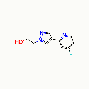 OCCn1cc(-c2cc(F)ccn2)cn1